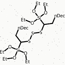 CCCCCCCCCCCC(SSSC(CCCCCCCCCCC)[Si](OCC)(OCC)OCC)[Si](OCC)(OCC)OCC